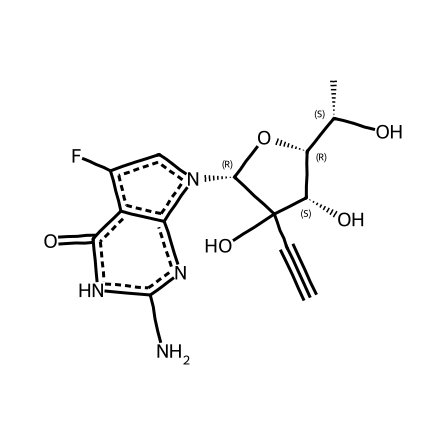 C#CC1(O)[C@@H](O)[C@@H]([C@H](C)O)O[C@H]1n1cc(F)c2c(=O)[nH]c(N)nc21